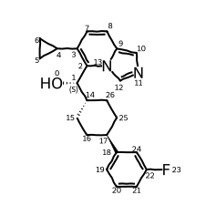 O[C@H](c1c(C2CC2)ccc2cncn12)[C@H]1CC[C@H](c2cccc(F)c2)CC1